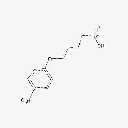 C[C@H](O)CCCCOc1ccc([N+](=O)[O-])cc1